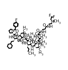 CCCC[C@H](NC(=O)C(C)(C)NC(=O)[C@H](CC(C)C)NC(=O)[C@H](CCC1CCCCC1)NC(=O)[C@@H]1CCCN1C(=O)c1ccc(F)cc1)C(=O)N[C@@H](CC(C)C)C(=O)NC(C)(C)C(=O)NC(C)(C)C(=O)NCCC(=O)NCCN(C)CC(F)F